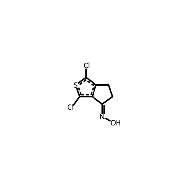 O/N=C1\CCc2c(Cl)sc(Cl)c21